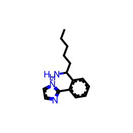 CCCCCC(N)c1ccccc1-c1ncc[nH]1